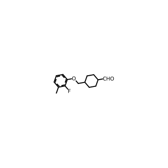 Cc1cccc(OCC2CCC(C=O)CC2)c1F